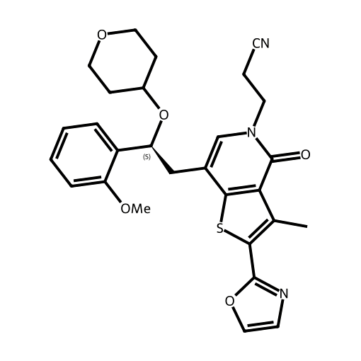 COc1ccccc1[C@H](Cc1cn(CCC#N)c(=O)c2c(C)c(-c3ncco3)sc12)OC1CCOCC1